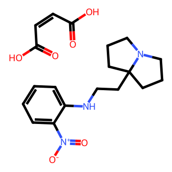 O=C(O)/C=C\C(=O)O.O=[N+]([O-])c1ccccc1NCCC12CCCN1CCC2